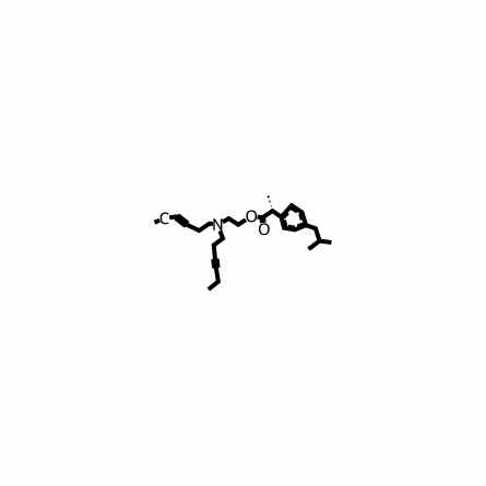 CCC#CCCN(CCC#CCC)CCOC(=O)[C@H](C)c1ccc(CC(C)C)cc1